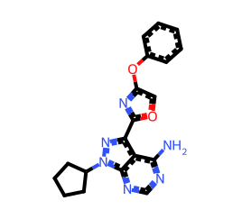 Nc1ncnc2c1c(-c1nc(Oc3ccccc3)co1)nn2C1CCCC1